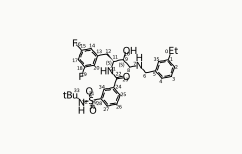 CCc1cccc(CNC[C@H](O)[C@H](Cc2cc(F)cc(F)c2)NC(=O)c2cccc(S(=O)(=O)NC(C)(C)C)c2)c1